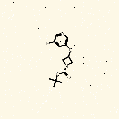 CC(C)(C)OC(=O)N1CC(Oc2cncc(F)c2)C1